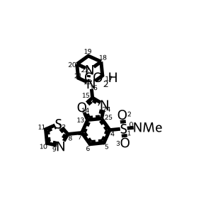 CNS(=O)(=O)c1ccc(-c2nccs2)c2oc(N3CC4CC(C3)N4C(=O)O)nc12